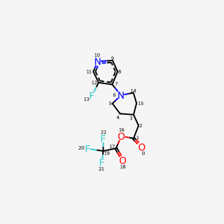 O=C(CC1CCN(c2ccncc2F)CC1)OC(=O)C(F)(F)F